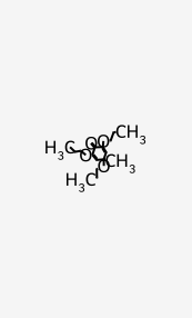 CCCOC1=CC(C)(OCCC)C=C(OCCC)C1=O